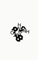 Cc1ccc(NC(=O)[C@@]2(C)CCCCN2)cc1C(=O)N[C@H](C)c1cccc2ccccc12